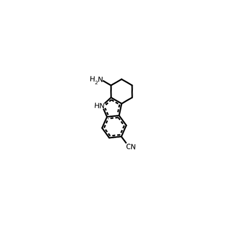 N#Cc1ccc2[nH]c3c(c2c1)CCCC3N